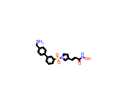 NCc1ccc(-c2cccc(S(=O)(=O)n3ccc(/C=C/C(=O)NO)c3)c2)cc1